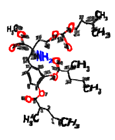 CCCC(C)C(=O)Oc1ccc(C[C@](N)(CCOC(=O)OCCC(C)C)C(=O)OC)cc1OC(=O)C(C)CCC